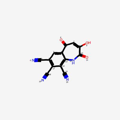 N#Cc1cc2c(=O)cc(O)c(=O)[nH]c2c(C#N)c1C#N